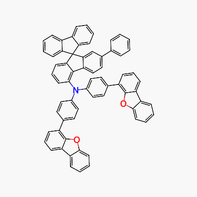 c1ccc(-c2ccc3c(c2)C2(c4ccccc4-c4ccccc42)c2cccc(N(c4ccc(-c5cccc6c5oc5ccccc56)cc4)c4ccc(-c5cccc6c5oc5ccccc56)cc4)c2-3)cc1